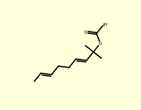 CC=CCCC=CC(C)(C)OC(=O)C(C)C